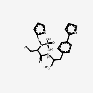 CC(C)CC(C(=O)NC(Cc1ccc(-c2ccco2)cc1)C(=O)O)N(Cc1cccs1)P(=O)(O)O